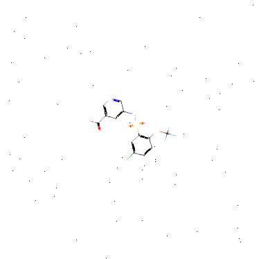 O=C(O)c1cncc(NS(=O)(=O)c2cc(Cl)ccc2OC(F)(F)F)c1